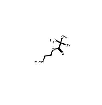 CCCCCCCCCOC(=O)C(C)(C)CCC